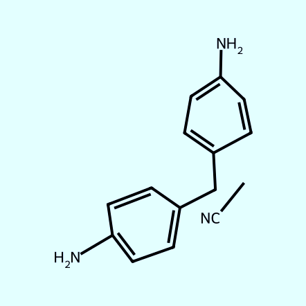 CC#N.Nc1ccc(Cc2ccc(N)cc2)cc1